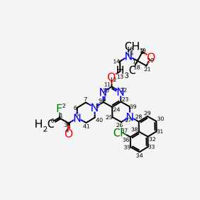 C=C(F)C(=O)N1CCN(c2nc(OCCN(C)C3(C)COC3)nc3c2CCN(c2cccc4cccc(Cl)c24)C3)CC1